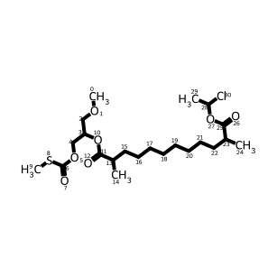 COCC(COC(=O)SC)OC(=O)C(C)CCCCCCCCC(C)C(=O)OC(C)Cl